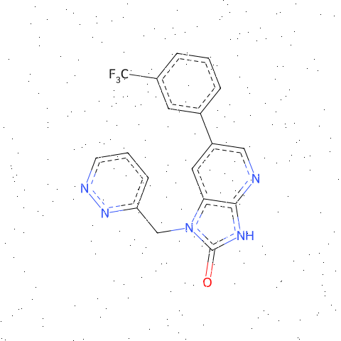 O=c1[nH]c2ncc(-c3cccc(C(F)(F)F)c3)cc2n1Cc1cccnn1